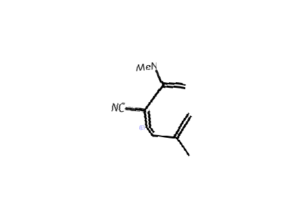 C=C(C)/C=C(/C#N)C(=C)NC